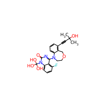 CC(C)(O)C#Cc1cccc2c1COCCN2c1nc(=O)n(C(O)(O)O)c2cccc(F)c12